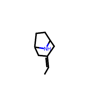 CC=C1CC2CCC(C1)N2